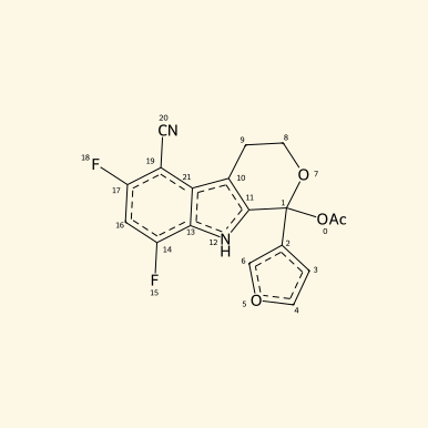 CC(=O)OC1(c2ccoc2)OCCc2c1[nH]c1c(F)cc(F)c(C#N)c21